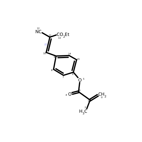 C=C(C)C(=O)Oc1ccc(/C=C(/C#N)C(=O)OCC)cc1